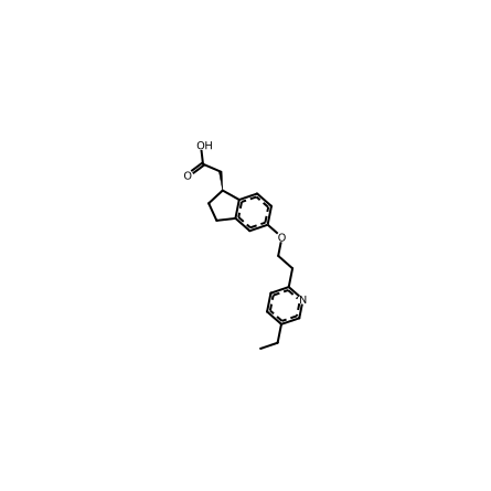 CCc1ccc(CCOc2ccc3c(c2)CC[C@H]3CC(=O)O)nc1